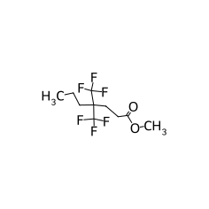 CCCC(CCC(=O)OC)(C(F)(F)F)C(F)(F)F